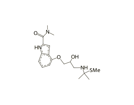 CSC(C)(C)NCC(O)COc1cccc2[nH]c(C(=O)N(C)C)cc12